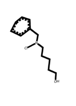 OCCCCCN(Cl)Cc1ccccc1